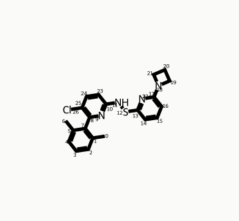 Cc1cccc(C)c1-c1nc(NSc2cccc(N3CCC3)n2)ccc1Cl